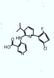 CC(C)c1ccc(-c2cc(Cl)ccc2F)nc1Nc1ccncc1C(=O)O